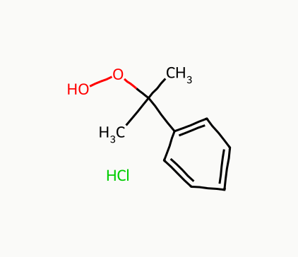 CC(C)(OO)c1ccccc1.Cl